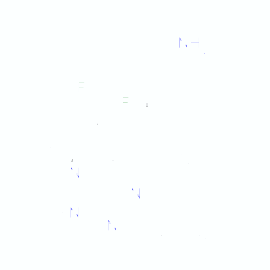 Nc1ccc(C2CC2)c(C2(C(F)(F)F)N=NN=N2)c1